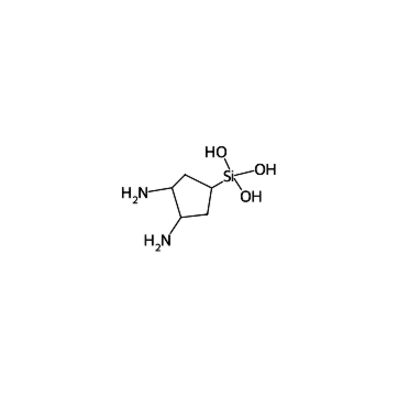 NC1CC([Si](O)(O)O)CC1N